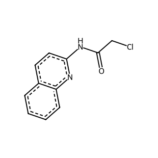 O=C(CCl)Nc1ccc2ccccc2n1